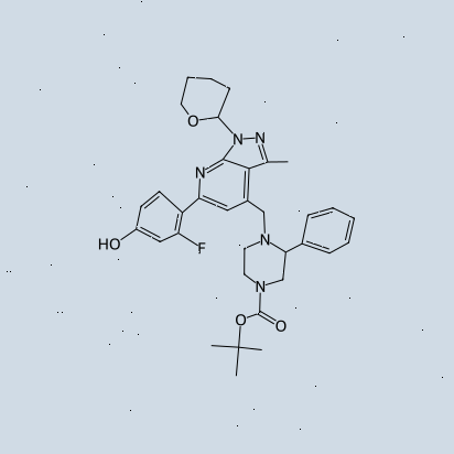 Cc1nn(C2CCCCO2)c2nc(-c3ccc(O)cc3F)cc(CN3CCN(C(=O)OC(C)(C)C)CC3c3ccccc3)c12